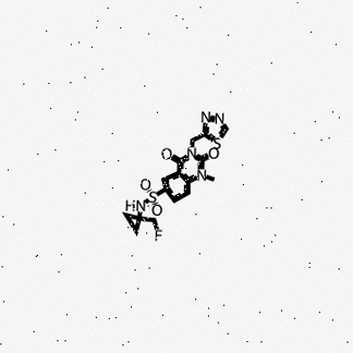 Cn1c(=O)n(Cc2nncs2)c(=O)c2cc(S(=O)(=O)NC3(CF)CC3)ccc21